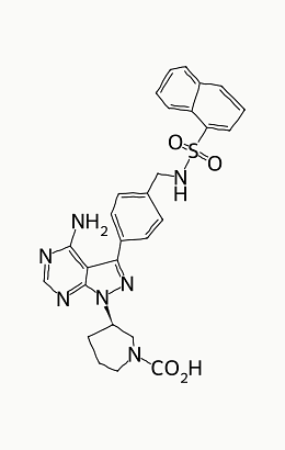 Nc1ncnc2c1c(-c1ccc(CNS(=O)(=O)c3cccc4ccccc34)cc1)nn2[C@@H]1CCCN(C(=O)O)C1